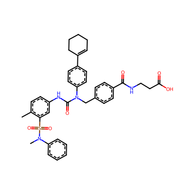 Cc1ccc(NC(=O)N(Cc2ccc(C(=O)NCCC(=O)O)cc2)c2ccc(C3=CCCCC3)cc2)cc1S(=O)(=O)N(C)c1ccccc1